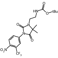 CC(C)(C)OC(=O)NCCN1C(=O)N(c2ccc([N+](=O)[O-])c(C(F)(F)F)c2)C(=O)C1(C)C